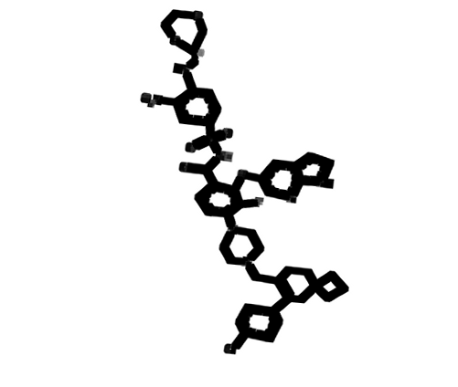 O=C(NS(=O)(=O)c1ccc(NC[C@H]2COCCO2)c([N+](=O)[O-])c1)c1ccc(N2CCN(CC3=C(c4ccc(Cl)cc4)CC4(CCC4)CC3)CC2)c(F)c1Oc1cnc2[nH]ccc2c1